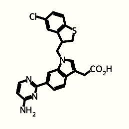 Nc1ccnc(-c2ccc3c(CC(=O)O)cn(CC4CSc5ccc(Cl)cc54)c3c2)n1